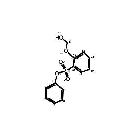 O=S(=O)(Oc1ccccc1)c1ccccc1OCO